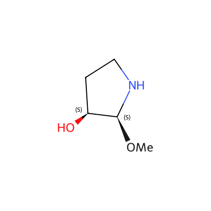 CO[C@@H]1NCC[C@@H]1O